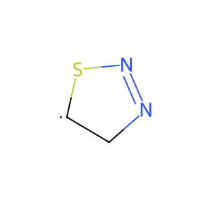 [CH]1CN=NS1